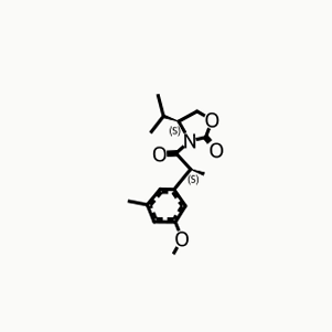 COc1cc(C)cc([C@H](C)C(=O)N2C(=O)OC[C@@H]2C(C)C)c1